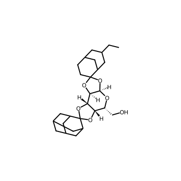 CCC1CC2CCC3(O[C@H]4O[C@H](CO)[C@@H]5OC6(O[C@@H]5[C@H]4O3)C3CC4CC(C3)CC6C4)C(C1)C2